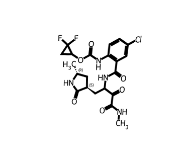 CNC(=O)C(=O)C(C[C@@H]1C[C@@H](C)NC1=O)NC(=O)c1cc(Cl)ccc1NC(=O)OC1CC1(F)F